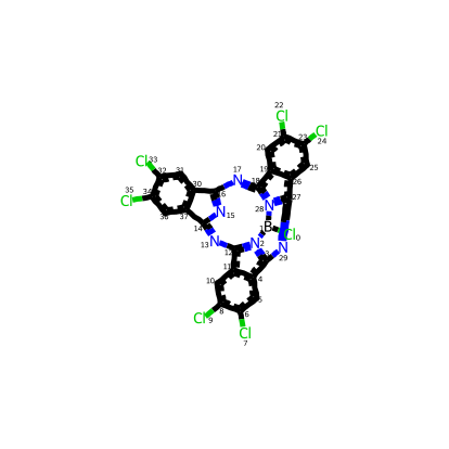 ClB1n2c3c4cc(Cl)c(Cl)cc4c2/N=C2N=C(/N=c4/c5cc(Cl)c(Cl)cc5c(n41)=N3)c1cc(Cl)c(Cl)cc1\2